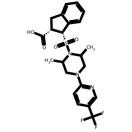 CC1CN(c2ccc(C(F)(F)F)cn2)CC(C)N1S(=O)(=O)[C@H]1c2ccccc2C[C@H]1C(=O)O